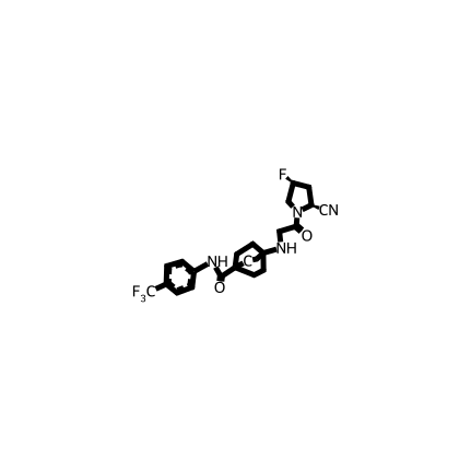 N#C[C@@H]1C[C@H](F)CN1C(=O)CNC12CCC(C(=O)Nc3ccc(C(F)(F)F)cc3)(CC1)CC2